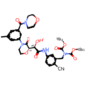 Cc1cc(C(=O)N2CCOCC2)cc(N2CCO[C@H]([C@@H](O)C(=O)Nc3ccc(C#N)c(CN(C(=O)OC(C)(C)C)C(=O)OC(C)(C)C)c3)C2=O)c1